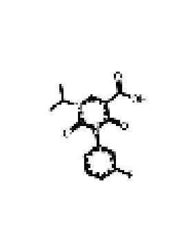 CC(C)n1cc(C(=O)O)c(=O)n(-c2cccc(F)c2)c1=O